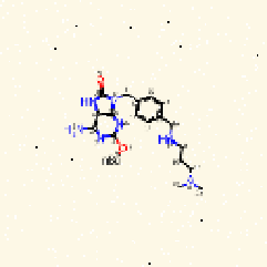 CCCCOc1nc(N)c2[nH]c(=O)n(Cc3ccc(CNCCCN(C)C)cc3)c2n1